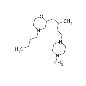 CCCCN1CCOC(CC(C)CCN2CCN(C)CC2)C1